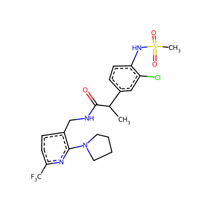 CC(C(=O)NCc1ccc(C(F)(F)F)nc1N1CCCC1)c1ccc(NS(C)(=O)=O)c(Cl)c1